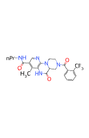 CCCNC(=O)c1cnc2c(c1C)NC(=O)C1CN(C(=O)c3ccccc3C(F)(F)F)CCN21